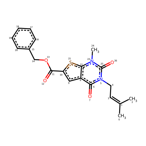 CC(C)=CCn1c(=O)c2cc(C(=O)OCc3ccccc3)sc2n(C)c1=O